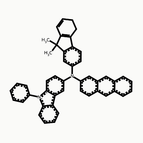 CC1(C)C2=C(CCC=C2)c2ccc(N(c3ccc4cc5ccccc5cc4c3)c3ccc4c(c3)c3ccccc3n4-c3ccccc3)cc21